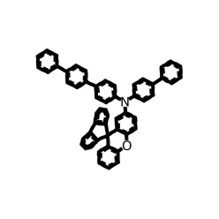 c1ccc(-c2ccc(-c3ccc(N(c4ccc(-c5ccccc5)cc4)c4ccc5c(c4)C4(c6ccccc6O5)c5ccccc5-c5ccccc54)cc3)cc2)cc1